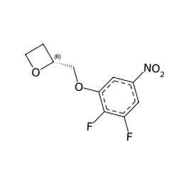 O=[N+]([O-])c1cc(F)c(F)c(OC[C@H]2CCO2)c1